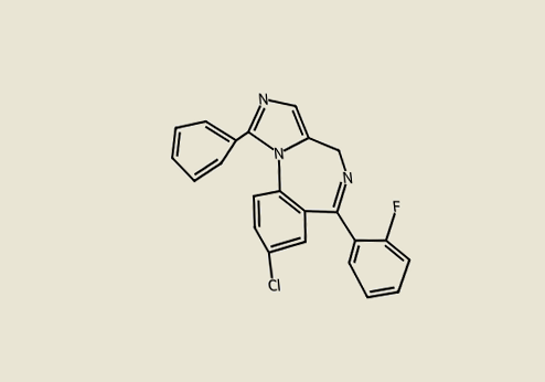 Fc1ccccc1C1=NCc2cnc(-c3ccccc3)n2-c2ccc(Cl)cc21